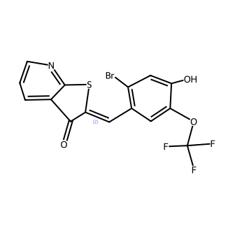 O=C1/C(=C/c2cc(OC(F)(F)F)c(O)cc2Br)Sc2ncccc21